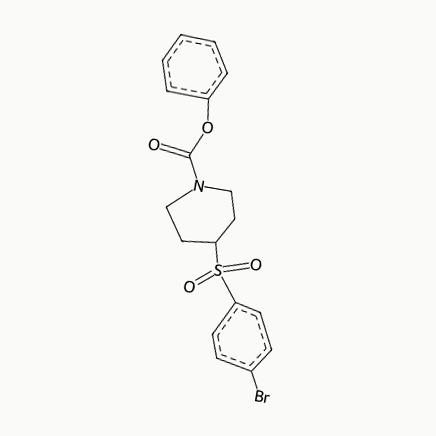 O=C(Oc1ccccc1)N1CCC(S(=O)(=O)c2ccc(Br)cc2)CC1